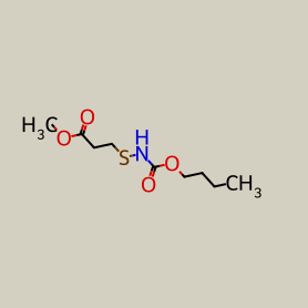 CCCCOC(=O)NSCCC(=O)OC